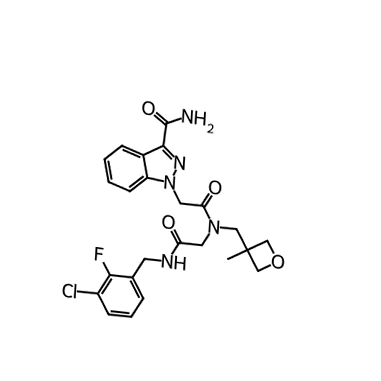 CC1(CN(CC(=O)NCc2cccc(Cl)c2F)C(=O)Cn2nc(C(N)=O)c3ccccc32)COC1